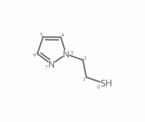 SCCn1cccn1